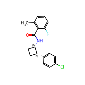 Cc1cccc(F)c1C(=O)N[C@H]1CC[C@H]1c1ccc(Cl)cc1